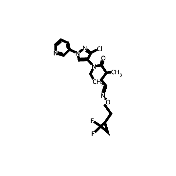 CCN(C(=O)C(C)C/C=N/OCCC1CC1(F)F)c1cn(-c2cccnc2)nc1Cl